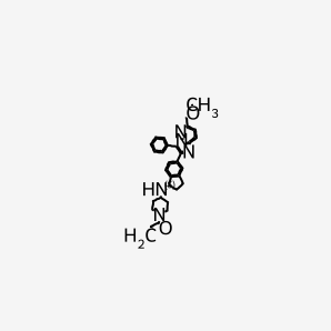 C=CC(=O)N1CCC(N[C@H]2CCc3cc(-c4nc5ccc(COC)nn5c4-c4ccccc4)ccc32)CC1